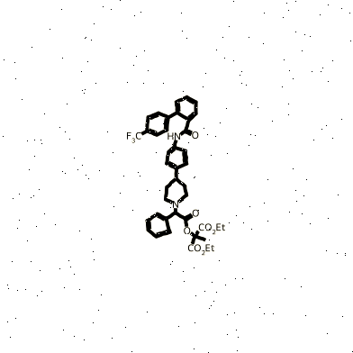 CCOC(=O)C(C)(OC(=O)C(c1ccccc1)N1CCC(c2ccc(NC(=O)c3ccccc3-c3ccc(C(F)(F)F)cc3)cc2)CC1)C(=O)OCC